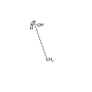 CCCCCCCCCCCCCCCCCCCCCCC(CO)C1=NCCN1